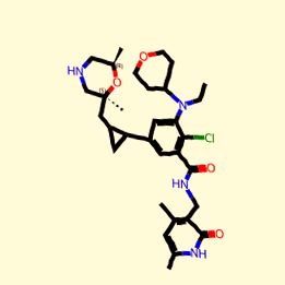 CCN(c1cc(C2CC2C[C@@]2(C)CNC[C@@H](C)O2)cc(C(=O)NCc2c(C)cc(C)[nH]c2=O)c1Cl)C1CCOCC1